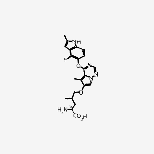 Cc1cc2c(F)c(Oc3ncnn4cc(OCC(C)C[C@H](N)C(=O)O)c(C)c34)ccc2[nH]1